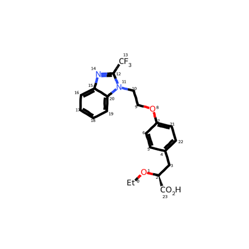 CCO[C@@H](Cc1ccc(OCCn2c(C(F)(F)F)nc3ccccc32)cc1)C(=O)O